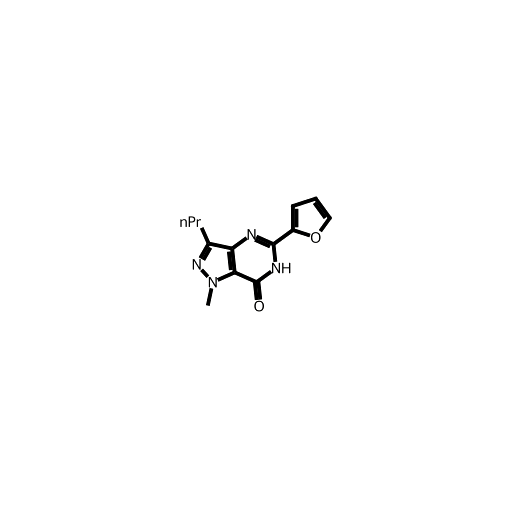 CCCc1nn(C)c2c(=O)[nH]c(-c3ccco3)nc12